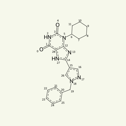 O=c1[nH]c(=O)n(C2CCCCC2)c2nc(-c3cnn(Cc4ccccc4)c3)[nH]c12